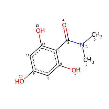 CN(C)C(=O)c1c(O)cc(O)cc1O